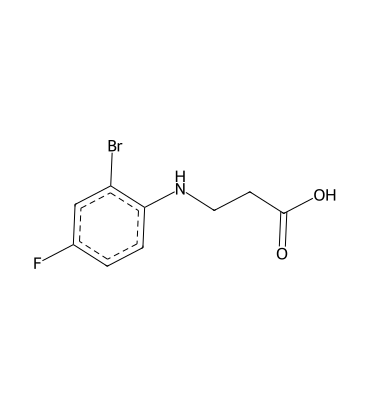 O=C(O)CCNc1ccc(F)cc1Br